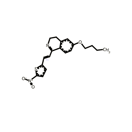 CCCCOc1ccc2c(c1)CCN=C2/C=C/c1ccc([N+](=O)[O-])s1